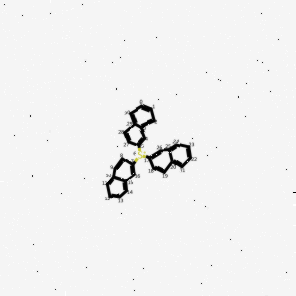 c1ccc2cc([S+](c3ccc4ccccc4c3)c3ccc4ccccc4c3)ccc2c1